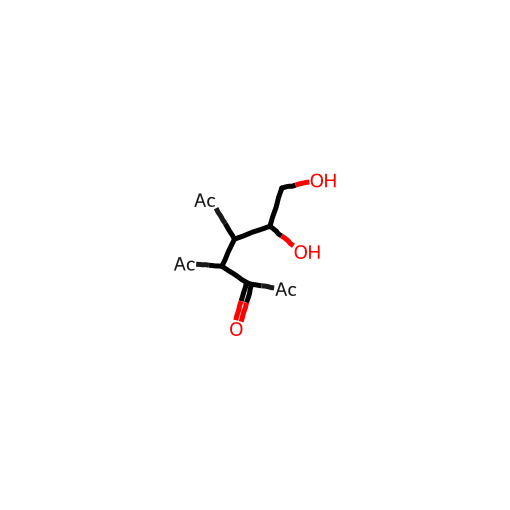 CC(=O)C(=O)C(C(C)=O)C(C(C)=O)C(O)CO